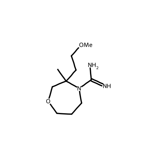 COCCC1(C)COCCCN1C(=N)N